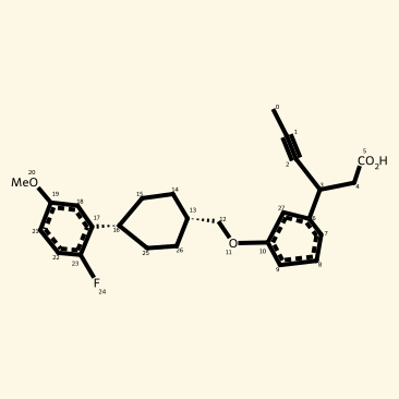 CC#CC(CC(=O)O)c1cccc(OC[C@H]2CC[C@@H](c3cc(OC)ccc3F)CC2)c1